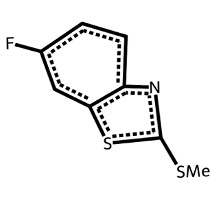 CSc1nc2ccc(F)cc2s1